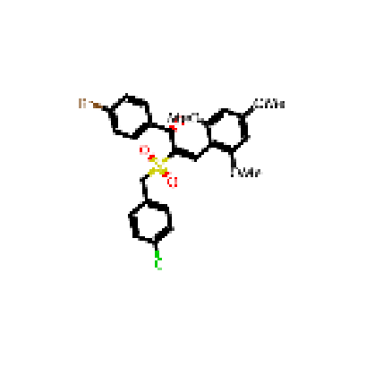 COc1cc(OC)c(/C=C(\C(=O)c2ccc(Br)cc2)S(=O)(=O)Cc2ccc(Cl)cc2)c(OC)c1